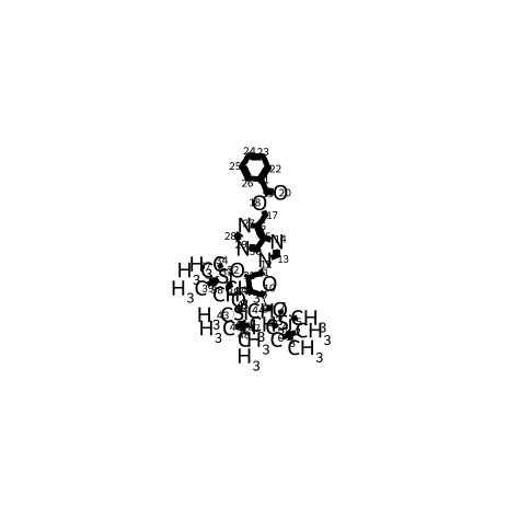 CC(C)(C)[Si](C)(C)OC[C@H]1O[C@@H](n2cnc3c(COC(=O)c4ccccc4)ncnc32)[C@H](O[Si](C)(C)C(C)(C)C)[C@@H]1O[Si](C)(C)C(C)(C)C